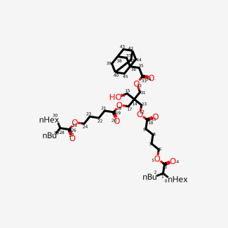 CCCCCCC(CCCC)C(=O)OCCCCC(=O)OCC(CO)(COC(=O)CCCCOC(=O)C(CCCC)CCCCCC)COC(=O)CC12CC3CC(CC(C3)C1)C2